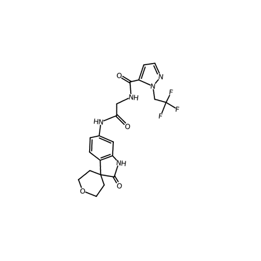 O=C(CNC(=O)c1ccnn1CC(F)(F)F)Nc1ccc2c(c1)NC(=O)C21CCOCC1